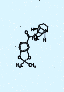 C[C@H]1[C@H](NC(=O)c2ccc3c(c2)OC(C)(C)O3)C2CCN1CC2